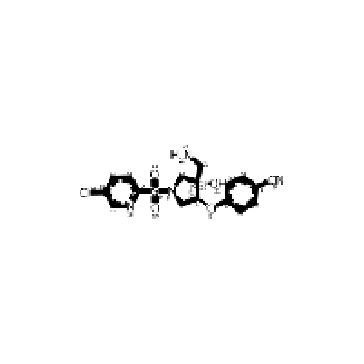 N#Cc1ccc(O[C@H]2CN(S(=O)(=O)c3ccc(Cl)cn3)C[C@@]2(O)CN)cc1